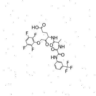 CC(NC(=O)C(=O)Nc1cccc(C(F)(F)F)c1)C(=O)NC(CCC(=O)O)C(=O)COc1c(F)c(F)cc(F)c1F